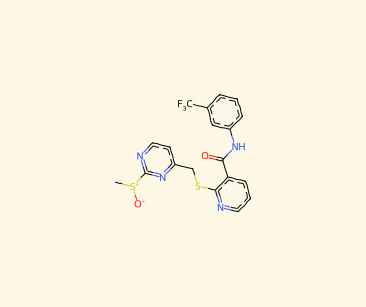 C[S+]([O-])c1nccc(CSc2ncccc2C(=O)Nc2cccc(C(F)(F)F)c2)n1